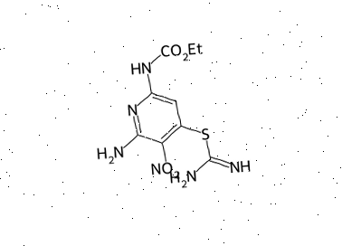 CCOC(=O)Nc1cc(SC(=N)N)c([N+](=O)[O-])c(N)n1